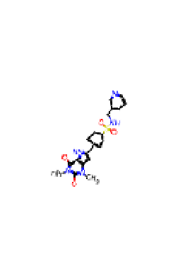 CCCn1c(=O)c2[nH]c(-c3ccc(S(=O)(=O)NCc4cccnc4)cc3)cc2n(C)c1=O